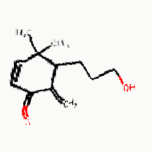 C=C1C(=O)C=CC(C)(C)C1CCCO